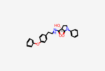 O=C(NCCc1ccc(Oc2ccccc2)cc1)[C@@]1(O)CCN(c2ccccc2)C1=O